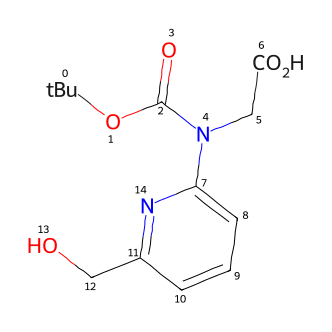 CC(C)(C)OC(=O)N(CC(=O)O)c1cccc(CO)n1